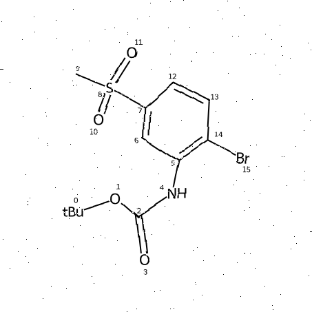 CC(C)(C)OC(=O)Nc1cc(S(C)(=O)=O)ccc1Br